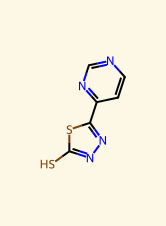 Sc1nnc(-c2ccncn2)s1